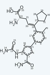 Cc1ccc(-c2cc(C(N)=O)c(NC(N)=O)s2)cc1/C(=C/C[C@H](N)C(=O)O)C1CCCC1